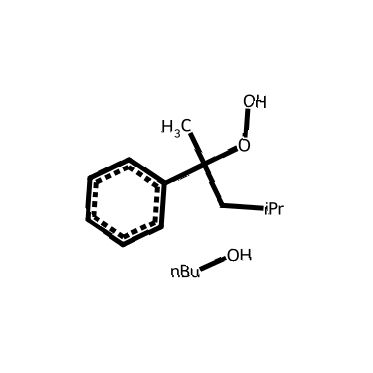 CC(C)CC(C)(OO)c1ccccc1.CCCCO